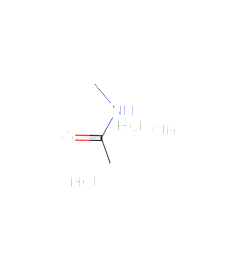 CNC(C)=O.Cl.Cl.Cl